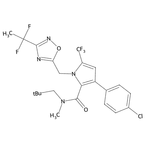 CN(CC(C)(C)C)C(=O)c1c(-c2ccc(Cl)cc2)cc(C(F)(F)F)n1Cc1nc(C(C)(F)F)no1